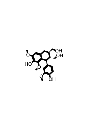 COc1cc([C@H]2c3c(cc(OC)c(O)c3OC)C[C@@H](CO)[C@@H]2CO)ccc1O